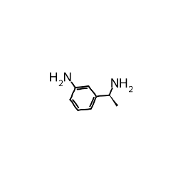 C[C@H](N)c1cccc(N)c1